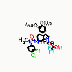 COc1ccc([C@@]23CC[C@H](NC(=O)N(C)c4ccc(Cl)c(Cl)c4)C[C@@H]2N(C)CC3)cc1OC.O=C(O)C(F)(F)F